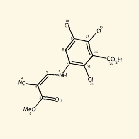 COC(=O)C(C#N)=CNc1cc(Cl)c(Cl)c(C(=O)O)c1Cl